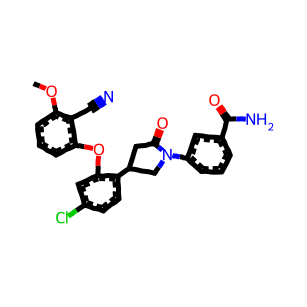 COc1cccc(Oc2cc(Cl)ccc2C2CC(=O)N(c3cccc(C(N)=O)c3)C2)c1C#N